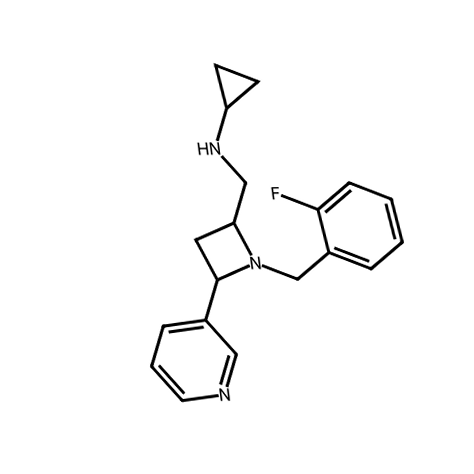 Fc1ccccc1CN1C(CNC2CC2)CC1c1cccnc1